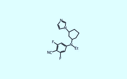 CCN(c1cc(F)c(C#N)c(F)c1)C1CCCC(n2ccnc2)C1